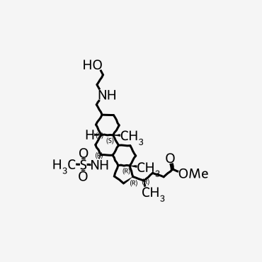 COC(=O)CC[C@@H](C)[C@H]1CCC2C3C(CC[C@@]21C)[C@@]1(C)CCC(CNCCO)C[C@H]1C[C@H]3NS(C)(=O)=O